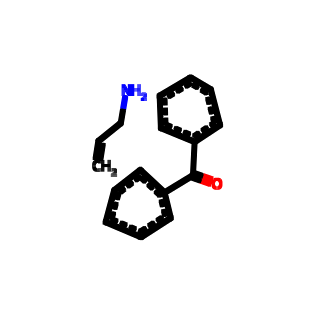 C=CCN.O=C(c1ccccc1)c1ccccc1